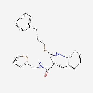 O=C(NCc1cccs1)c1cc2ccccc2nc1SCCCc1ccccc1